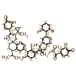 CC(C)[C@H]1CC[C@](C)(CN(C(=O)c2c[nH]c(=O)cn2)C2(C)CC2)c2nnc(-c3c(F)ccc(C4C[C@]5(CN(C)C(=O)c6c[nH]c(=O)cn6)c6nnc(-c7c(F)cccc7F)cc6[C@H]4C5(C)C)c3F)cc21